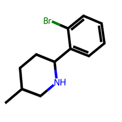 CC1CCC(c2ccccc2Br)NC1